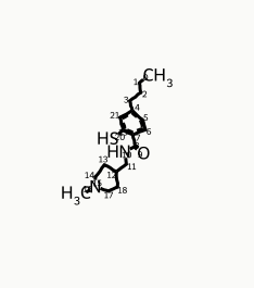 CCCCc1ccc(C(=O)NCC2CCN(C)CC2)c(S)c1